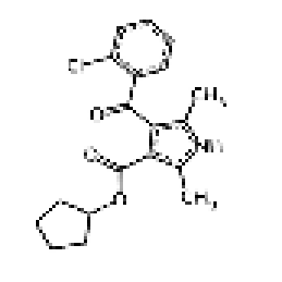 Cc1[nH]c(C)c(C(=O)c2ccccc2Cl)c1C(=O)OC1CCCC1